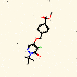 COC(=O)c1ccc(COc2cnn(C(C)(C)C)c(=O)c2Cl)cc1